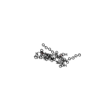 CC[C@]1(O)CC2CN(CCc3c([nH]c4ccccc34)[C@@](C(=O)OC)(c3cc4c(cc3OC)N(C)[C@H]3[C@@](O)(C(=O)NNC(=O)OCCSSCC(NC(=O)[C@H](CNC(=O)CCOCCOCCOCCOC)NC(=O)[C@H](CC(=O)O)NC(=O)[C@H](CNC(=O)CCOCCOCCOCCOC)NC(C)=O)C(=O)O)[C@H](O)[C@]5(CC)C=CCN6CC[C@]43[C@@H]65)C2)C1